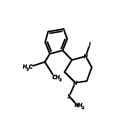 CC(C)c1ccccc1C1CN(SN)CCN1I